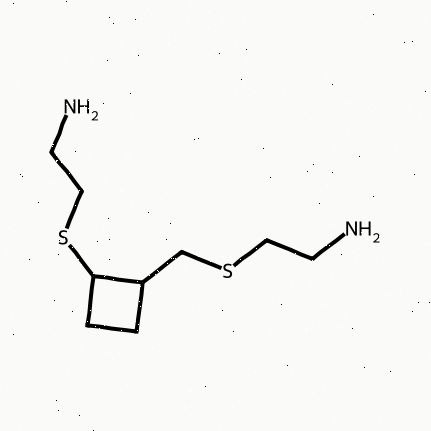 NCCSCC1CCC1SCCN